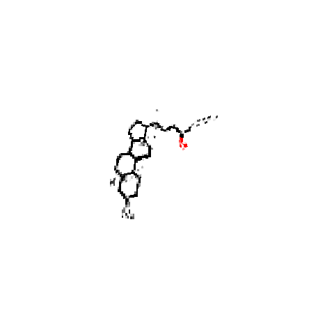 COC(=O)CC[C@@H](C)C1CCC2C3CC[C@@H]4C[C@H](OC(C)=O)CC[C@]4(C)C3=CC[C@@]21C